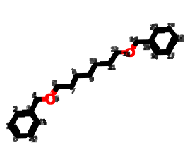 c1ccc(COCCCCCCCOCc2ccccc2)cc1